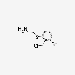 NCCSc1cccc(Br)c1CCl